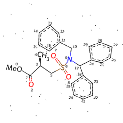 COC(=O)[C@@H](C)CS(=O)(=O)N(Cc1ccccc1)C(c1ccccc1)c1ccccc1